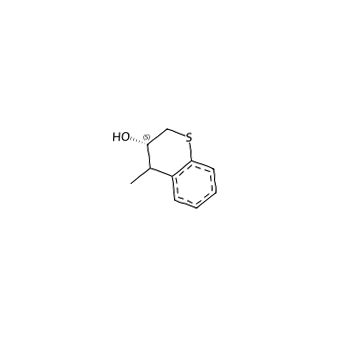 CC1c2ccccc2SC[C@H]1O